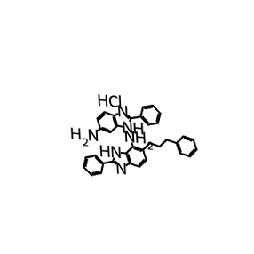 Cl.Nc1c(CCCc2ccccc2)ccc2nc(-c3ccccc3)[nH]c12.Nc1ccc2nc(-c3ccccc3)[nH]c2c1